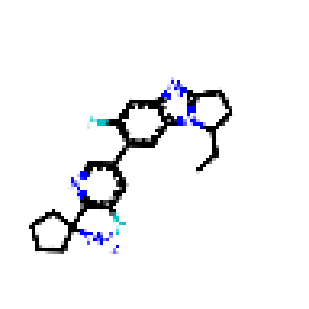 CCC1CCc2nc3cc(F)c(-c4cnc(C5(N)CCCC5)c(F)c4)cc3n21